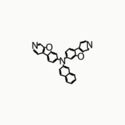 c1ccc2cc(N(c3ccc4c(c3)oc3cnccc34)c3ccc4c(c3)oc3cnccc34)ccc2c1